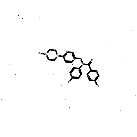 CC(C)N1CCN(c2ccc(CN(C(=O)c3ccc(Cl)cc3)c3ccc(F)cc3)cn2)CC1